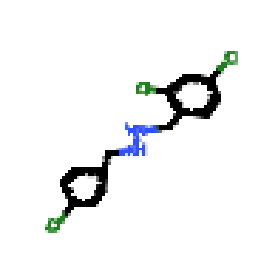 Clc1ccc(CNNCc2ccc(Cl)cc2Cl)cc1